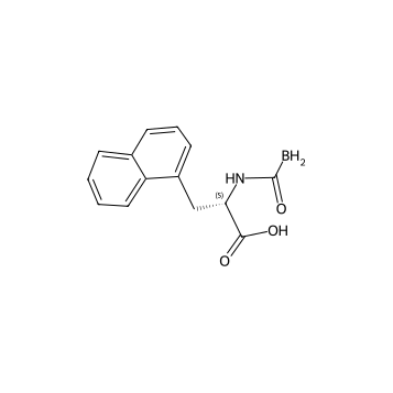 BC(=O)N[C@@H](Cc1cccc2ccccc12)C(=O)O